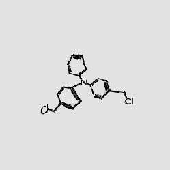 ClCc1ccc(N(c2ccccc2)c2ccc(CCl)cc2)cc1